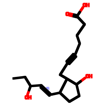 CCC(O)/C=C/C1CCC(O)C1CC#CCCCC(=O)O